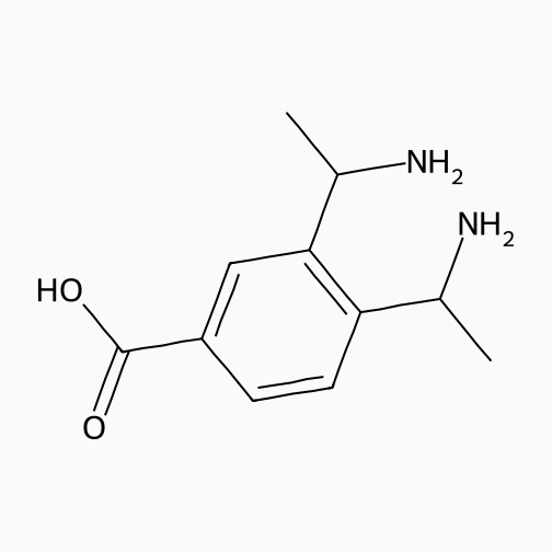 CC(N)c1ccc(C(=O)O)cc1C(C)N